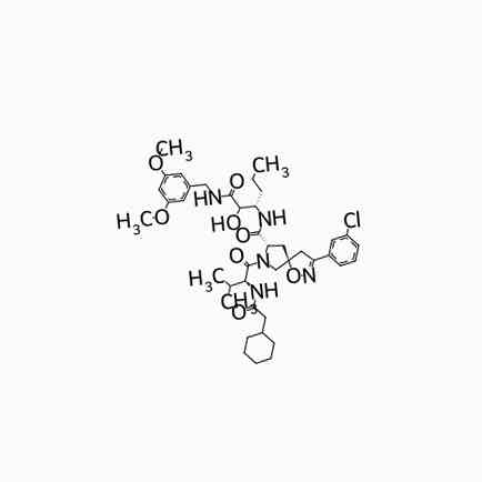 CCC[C@H](NC(=O)[C@@H]1C[C@]2(CC(c3cccc(Cl)c3)=NO2)CN1C(=O)[C@@H](NC(=O)CC1CCCCC1)C(C)C)C(O)C(=O)NCc1cc(OC)cc(OC)c1